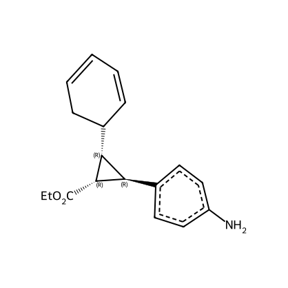 CCOC(=O)[C@H]1[C@H](c2ccc(N)cc2)[C@H]1C1C=CC=CC1